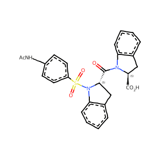 CC(=O)Nc1ccc(S(=O)(=O)N2c3ccccc3C[C@H]2C(=O)N2c3ccccc3C[C@H]2C(=O)O)cc1